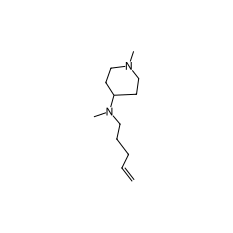 C=CCCCN(C)C1CCN(C)CC1